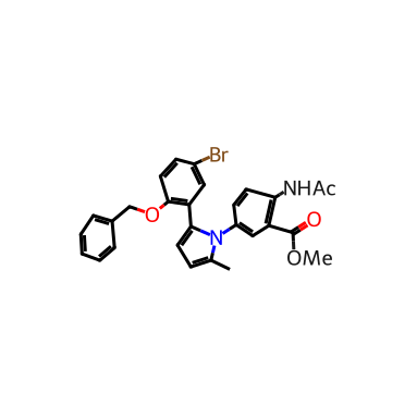 COC(=O)c1cc(-n2c(C)ccc2-c2cc(Br)ccc2OCc2ccccc2)ccc1NC(C)=O